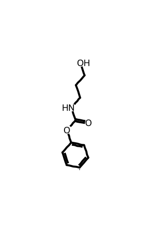 O=C(NCCCO)Oc1cc[c]cc1